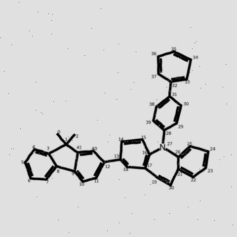 CC1(C)c2ccccc2-c2ccc(-c3ccc4c(c3)C=Cc3ccccc3N4c3ccc(-c4ccccc4)cc3)cc21